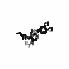 CCCCNc1nc(Nc2ccc(Cl)c(Cl)c2)ncc1N